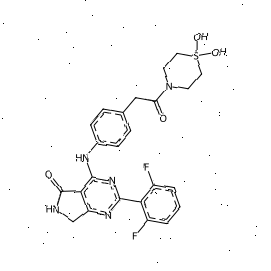 O=C1NCc2nc(-c3c(F)cccc3F)nc(Nc3ccc(CC(=O)N4CCS(O)(O)CC4)cc3)c21